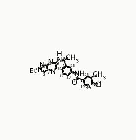 CCn1cc2ncc(N[C@@H](C)c3cccc(NC(=O)c4cnc(Cl)c(C)c4)c3)nc2n1